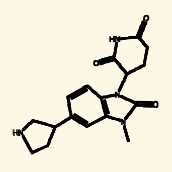 Cn1c(=O)n(C2CCC(=O)NC2=O)c2ccc(C3CCNC3)cc21